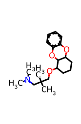 CN(C)CC(C)(C)COC1CCCC2Oc3ccccc3OC12